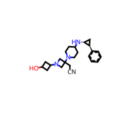 N#CCC1(N2CCC(N[C@@H]3C[C@H]3c3ccccc3)CC2)CN(C2CC(O)C2)C1